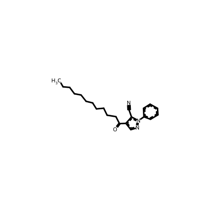 CCCCCCCCCCCC(=O)c1cnn(-c2ccccc2)c1C#N